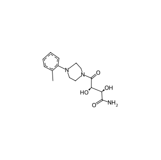 Cc1ccccc1N1CCN(C(=O)[C@H](O)[C@@H](O)C(N)=O)CC1